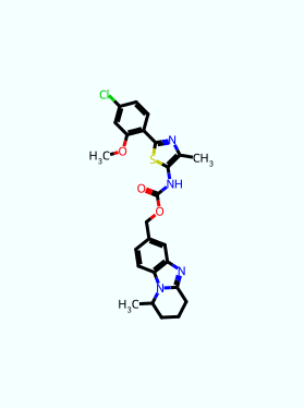 COc1cc(Cl)ccc1-c1nc(C)c(NC(=O)OCc2ccc3c(c2)nc2n3C(C)CCC2)s1